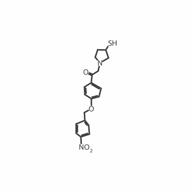 O=C(CN1CCC(S)C1)c1ccc(OCc2ccc([N+](=O)[O-])cc2)cc1